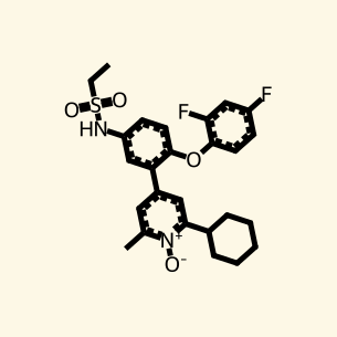 CCS(=O)(=O)Nc1ccc(Oc2ccc(F)cc2F)c(-c2cc(C)[n+]([O-])c(C3CCCCC3)c2)c1